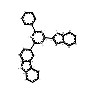 c1ccc(-c2nc(-c3ccc4sc5ccccc5c4c3)nc(-c3cc4ccccc4o3)n2)cc1